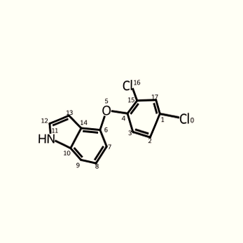 Clc1ccc(Oc2cccc3[nH]ccc23)c(Cl)c1